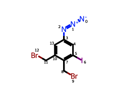 [N-]=[N+]=Nc1cc(I)c(CBr)c(CBr)c1